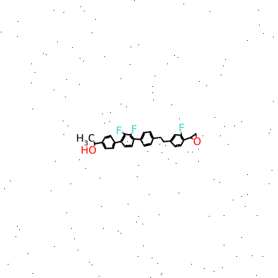 CC(O)c1ccc(-c2ccc(-c3ccc(CCc4ccc(C5CO5)c(F)c4)cc3)c(F)c2F)cc1